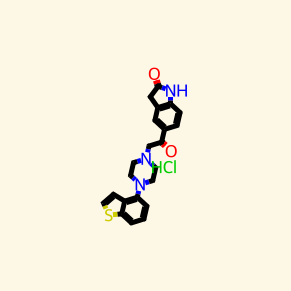 Cl.O=C1Cc2cc(C(=O)CN3CCN(c4cccc5sccc45)CC3)ccc2N1